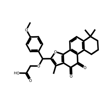 COc1ccc(C(OCC(=O)O)c2oc3c(c2C)C(=O)C(=O)c2c-3ccc3c2CCCC3(C)C)cc1